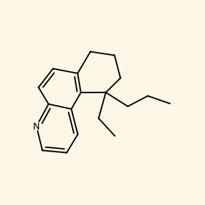 CCCC1(CC)CCCc2ccc3ncccc3c21